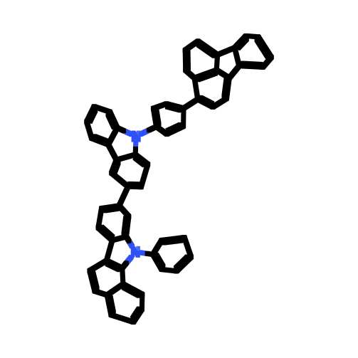 c1ccc(-n2c3cc(-c4ccc5c(c4)c4ccccc4n5-c4ccc(-c5ccc6c7c(cccc57)-c5ccccc5-6)cc4)ccc3c3ccc4ccccc4c32)cc1